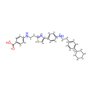 O=C(O)c1ccc(NCCc2nc(-c3ccc(NCCc4ccc(C5CCCCC5)cc4)cc3)cs2)cc1